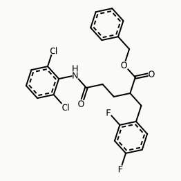 O=C(CCC(Cc1ccc(F)cc1F)C(=O)OCc1ccccc1)Nc1c(Cl)cccc1Cl